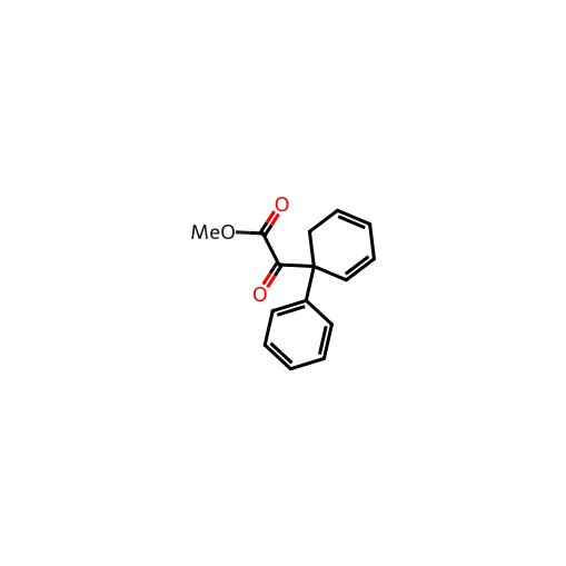 COC(=O)C(=O)C1(c2ccccc2)C=CC=CC1